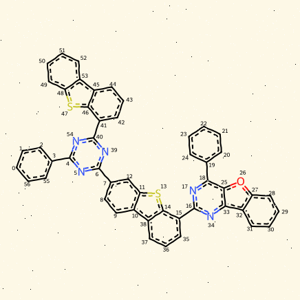 c1ccc(-c2nc(-c3ccc4c(c3)sc3c(-c5nc(-c6ccccc6)c6oc7ccccc7c6n5)cccc34)nc(-c3cccc4c3sc3ccccc34)n2)cc1